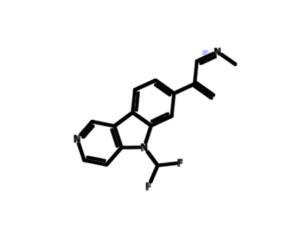 C=C(/C=N\C)c1ccc2c3cnccc3n(C(F)F)c2c1